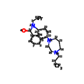 CC(C)CN1C(=O)c2cccc3c(N4CCCN(CCC(F)(F)F)CC4)ccc1c23